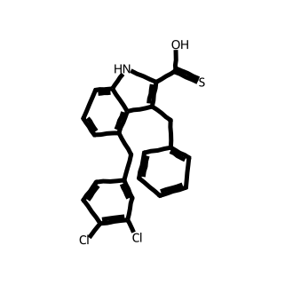 OC(=S)c1[nH]c2cccc(Cc3ccc(Cl)c(Cl)c3)c2c1Cc1ccccc1